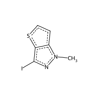 Cn1nc(I)c2sccc21